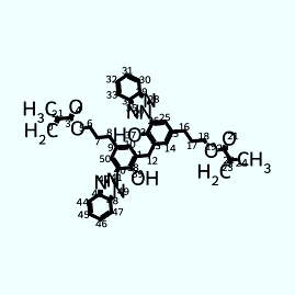 C=C(C)C(=O)OCCCc1cc(Cc2cc(CCCOC(=O)C(=C)C)cc(-n3nc4ccccc4n3)c2O)c(O)c(-n2nc3ccccc3n2)c1